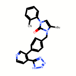 CCCCc1cn(-c2ccccc2C#N)c(=O)n1Cc1ccc(-c2cnccc2-c2nnn[nH]2)cc1